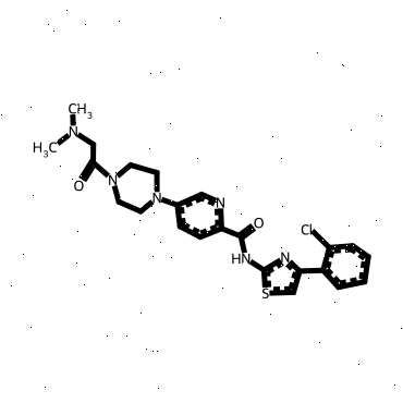 CN(C)CC(=O)N1CCN(c2ccc(C(=O)Nc3nc(-c4ccccc4Cl)cs3)nc2)CC1